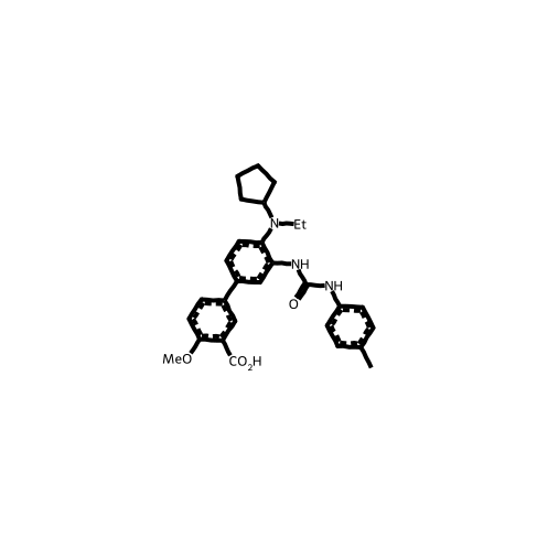 CCN(c1ccc(-c2ccc(OC)c(C(=O)O)c2)cc1NC(=O)Nc1ccc(C)cc1)C1CCCC1